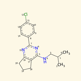 CC(C)CNc1nc(-c2ccc(Cl)cc2)nc2c1CCC2